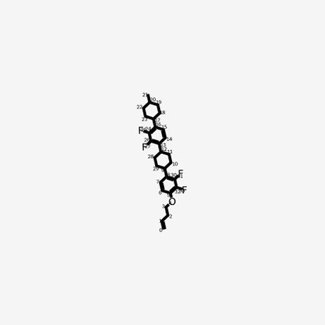 C=CCCOc1ccc(C2CCC(c3ccc(C4CCC(C)CC4)c(F)c3F)CC2)c(F)c1F